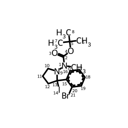 CN(C(=O)OC(C)(C)C)N1CCCC1(I)c1ccccc1Br